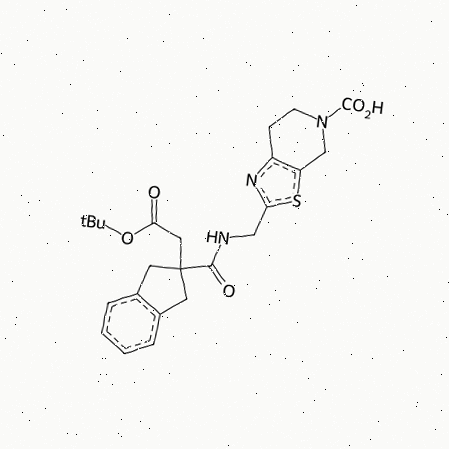 CC(C)(C)OC(=O)CC1(C(=O)NCc2nc3c(s2)CN(C(=O)O)CC3)Cc2ccccc2C1